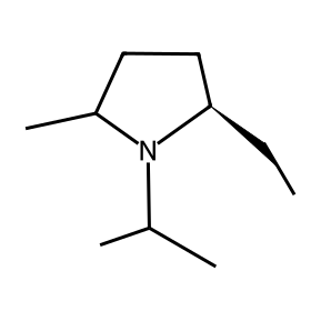 CC[C@@H]1CCC(C)N1C(C)C